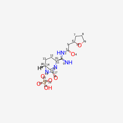 N=C(NC(=O)CC1CCCO1)[C@@H]1CC[C@@H]2CN1C(=O)N2OS(=O)(=O)O